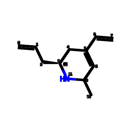 C=CC[C@@H]1CC(C=C)=CC(C)N1